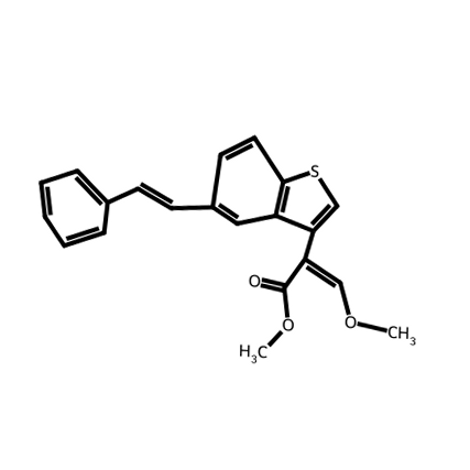 COC=C(C(=O)OC)c1csc2ccc(C=Cc3ccccc3)cc12